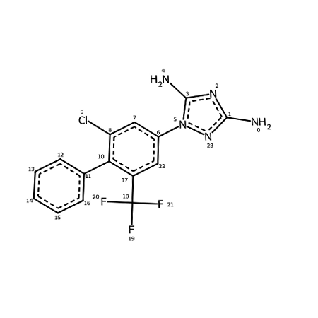 Nc1nc(N)n(-c2cc(Cl)c(-c3ccccc3)c(C(F)(F)F)c2)n1